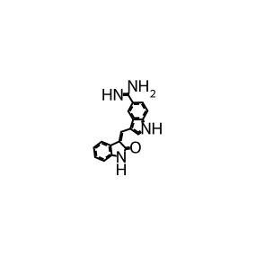 N=C(N)c1ccc2[nH]cc(C=C3C(=O)Nc4ccccc43)c2c1